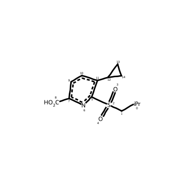 CC(C)CS(=O)(=O)c1nc(C(=O)O)ccc1C1CC1